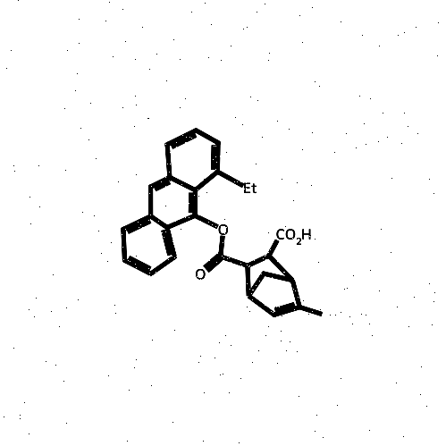 CCc1cccc2cc3ccccc3c(OC(=O)C3C4C=C(C)C(C4)C3C(=O)O)c12